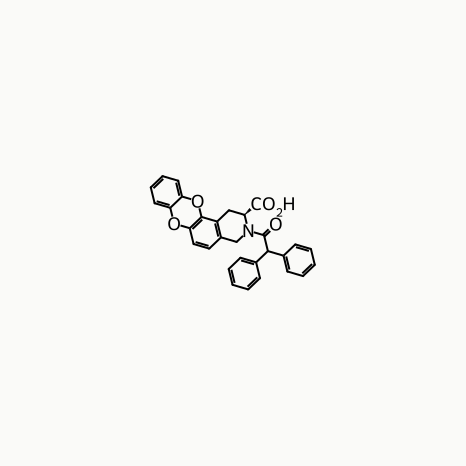 O=C(O)[C@@H]1Cc2c(ccc3c2Oc2ccccc2O3)CN1C(=O)C(c1ccccc1)c1ccccc1